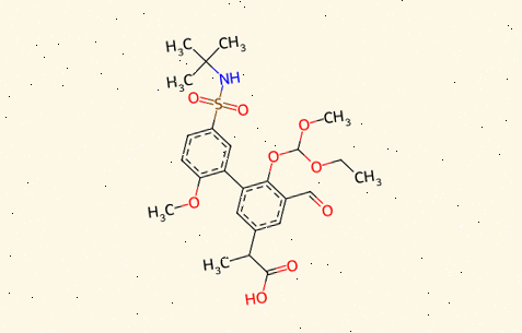 CCOC(OC)Oc1c(C=O)cc(C(C)C(=O)O)cc1-c1cc(S(=O)(=O)NC(C)(C)C)ccc1OC